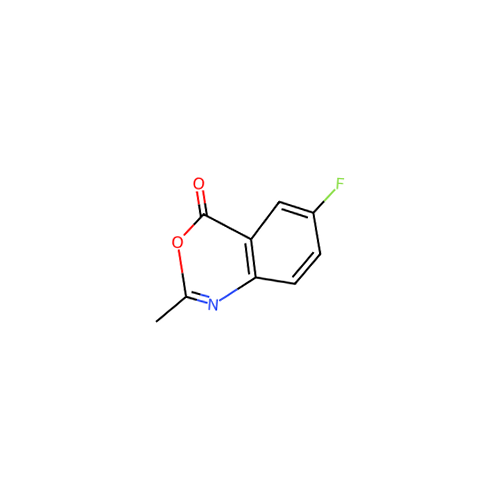 Cc1nc2ccc(F)cc2c(=O)o1